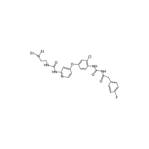 CCN(CC)CCNC(=O)Nc1cc(Oc2ccc(NC(=O)NC(=O)Cc3ccc(F)cc3)c(Cl)c2)ccn1